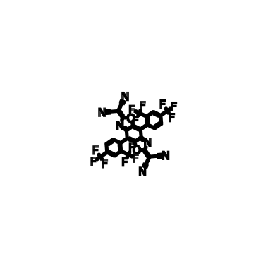 N#CC(C#N)=c1nc2c(-c3ccc(C(F)(F)F)cc3C(F)(F)F)c3oc(=C(C#N)C#N)nc3c(-c3ccc(C(F)(F)F)cc3C(F)(F)F)c2o1